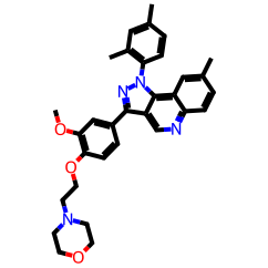 COc1cc(-c2nn(-c3ccc(C)cc3C)c3c2cnc2ccc(C)cc23)ccc1OCCN1CCOCC1